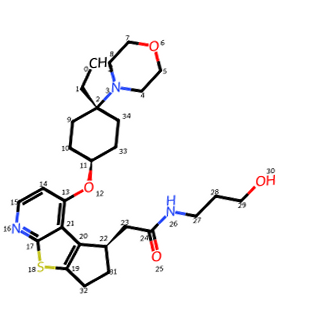 CC[C@]1(N2CCOCC2)CC[C@H](Oc2ccnc3sc4c(c23)[C@@H](CC(=O)NCCCO)CC4)CC1